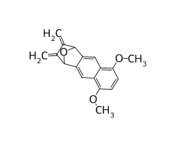 C=C1C(=C)C2OC1c1cc3c(OC)ccc(OC)c3cc12